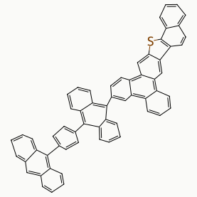 c1ccc2c(-c3ccc(-c4c5ccccc5c(-c5ccc6c(c5)c5ccccc5c5cc7c(cc65)sc5c6ccccc6ccc75)c5ccccc45)cc3)c3ccccc3cc2c1